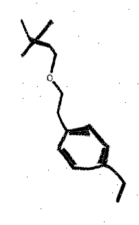 CCc1ccc(CCOCC(C)(C)C)cc1